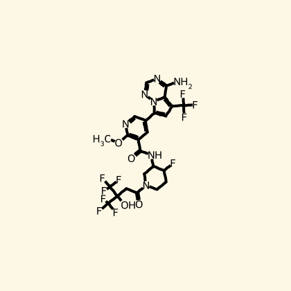 COc1ncc(-c2cc(C(F)(F)F)c3c(N)ncnn23)cc1C(=O)NC1CN(C(=O)CC(O)(C(F)(F)F)C(F)(F)F)CCC1F